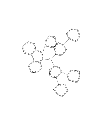 c1ccc(-c2ccc(N(c3ccc(-c4ccccc4)c(-c4ccccc4)c3)c3c(-c4ccccc4)c4ccccc4c4ccccc34)cc2)cc1